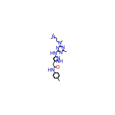 Cc1ccc(NC(=O)Cc2cc(Nc3nc(C)nc(N(C)CCN(C)C)n3)n[nH]2)cc1